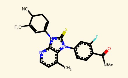 CNC(=O)c1ccc(-n2c(=S)n(C3=CCC(C#N)C(C(F)(F)F)=C3)c3nccc(C)c32)cc1F